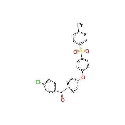 CC(C)c1ccc(S(=O)(=O)c2ccc(Oc3ccc(C(=O)c4ccc(Cl)cc4)cc3)cc2)cc1